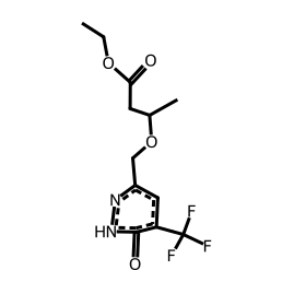 CCOC(=O)CC(C)OCc1cc(C(F)(F)F)c(=O)[nH]n1